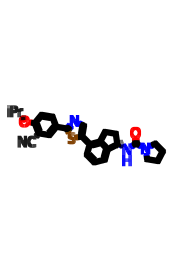 CC(C)Oc1ccc(-c2ncc(-c3cccc4c3CC[C@@H]4NC(=O)N3CCCC3)s2)cc1C#N